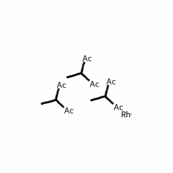 CC(=O)C(C)C(C)=O.CC(=O)C(C)C(C)=O.CC(=O)C(C)C(C)=O.[Rh]